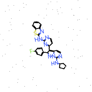 Fc1ccc(-c2nn3c(NC4CCCC4)nccc3c2-c2ccnc(Nc3nc4ccccc4s3)n2)cc1